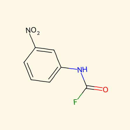 O=C(F)Nc1cccc([N+](=O)[O-])c1